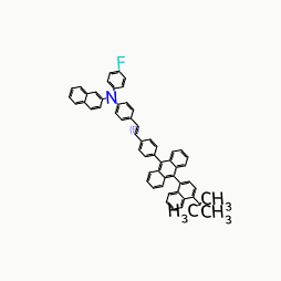 CC(C)(C)c1ccc(-c2c3ccccc3c(-c3ccc(/C=C/c4ccc(N(c5ccc(F)cc5)c5ccc6ccccc6c5)cc4)cc3)c3ccccc23)c2ccccc12